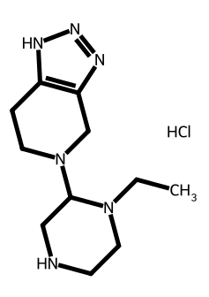 CCN1CCNCC1N1CCc2[nH]nnc2C1.Cl